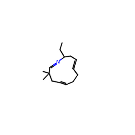 CCC1C/C=C/CC/C=C/CC(C)(C)/C=N/1